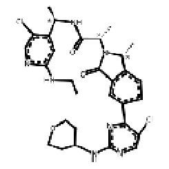 CCNc1cc([C@@H](C)NC(=O)[C@H](C)N2C(=O)c3cc(-c4nc(NC5CCOCC5)ncc4Cl)ccc3[C@H]2C)c(Cl)cn1